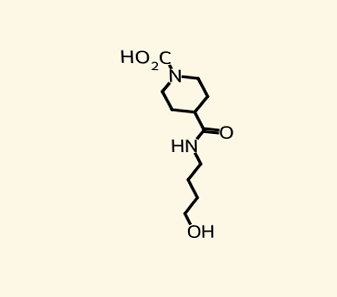 O=C(NCCCCO)C1CCN(C(=O)O)CC1